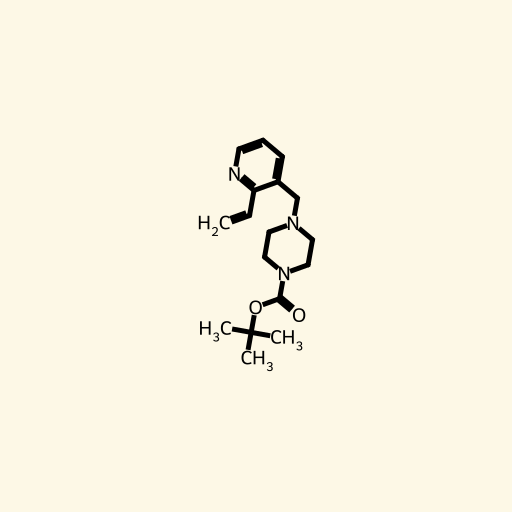 C=Cc1ncccc1CN1CCN(C(=O)OC(C)(C)C)CC1